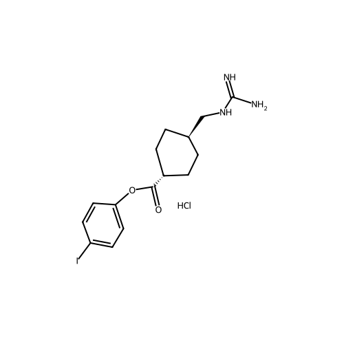 Cl.N=C(N)NC[C@H]1CC[C@H](C(=O)Oc2ccc(I)cc2)CC1